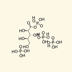 O=C(OP(=O)(O)O)[C@H](O)[C@H](O)[C@H](O)CO.O=P(O)(O)O.O=P(O)(O)O.O=P(O)(O)O